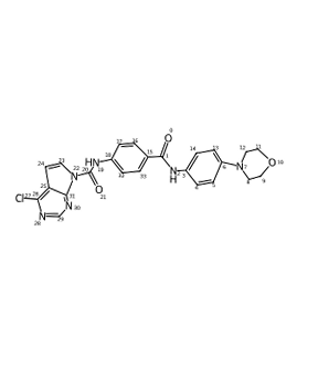 O=C(Nc1ccc(N2CCOCC2)cc1)c1ccc(NC(=O)n2ccc3c(Cl)ncnc32)cc1